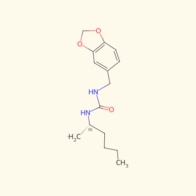 [CH2][C@@H](CCCC)NC(=O)NCc1ccc2c(c1)OCO2